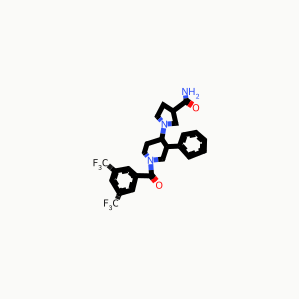 NC(=O)C1CCN(C2CCN(C(=O)c3cc(C(F)(F)F)cc(C(F)(F)F)c3)CC2c2ccccc2)C1